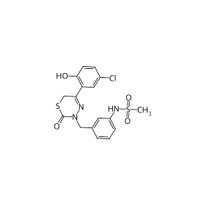 CS(=O)(=O)Nc1cccc(CN2N=C(c3cc(Cl)ccc3O)CSC2=O)c1